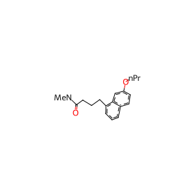 CCCOc1ccc2cccc(CCCC(=O)NC)c2c1